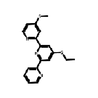 CCSc1cc(-c2ccccn2)nc(-c2cc(SC)ccn2)c1